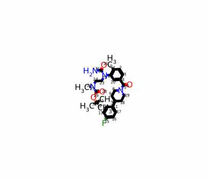 Cc1ccc(C(=O)N2CCC(c3ccc(F)cc3)CC2)cc1N(CCN(C)C(=O)OC(C)(C)C)C(N)=O